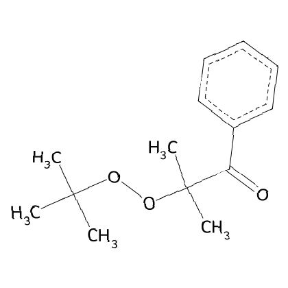 CC(C)(C)OOC(C)(C)C(=O)c1ccccc1